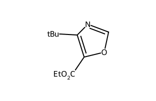 CCOC(=O)c1ocnc1C(C)(C)C